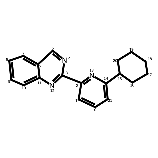 c1cc(-c2ncc3ccccc3n2)nc(C2CCCCC2)c1